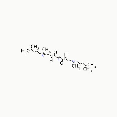 CC(C)=CCC/C(C)=C/CNC(=O)/C=C/C(=O)NC/C=C(\C)CCC=C(C)C